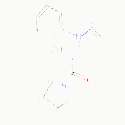 Cc1ccccc1-n1ccs/c1=N\C(=O)N1CCCC1